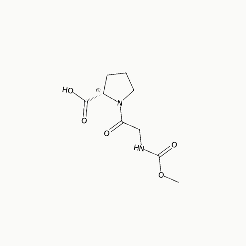 COC(=O)NCC(=O)N1CCC[C@H]1C(=O)O